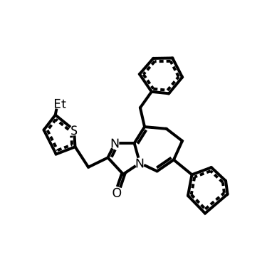 CCc1ccc(CC2=NC3=C(Cc4ccccc4)CCC(c4ccccc4)=CN3C2=O)s1